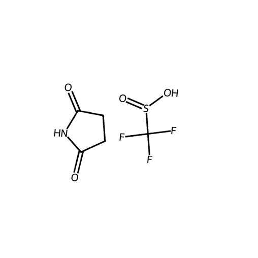 O=C1CCC(=O)N1.O=S(O)C(F)(F)F